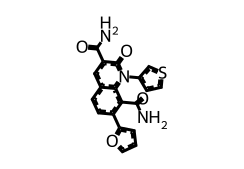 NC(=O)c1cc2ccc(-c3ccco3)c(C(N)=O)c2n(-c2ccsc2)c1=O